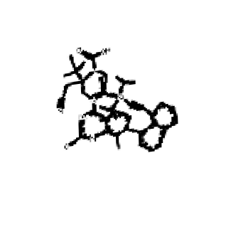 CC(C)[Si](C#Cc1cccc2cccc(-c3ccc4c(N5CCN(C(=O)O)C(CC#N)(C(C)(C)C)C5)nc(Cl)nc4c3F)c12)(C(C)C)C(C)C